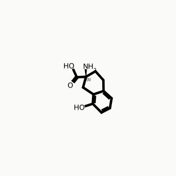 N[C@@]1(C(=O)O)CCc2cccc(O)c2C1